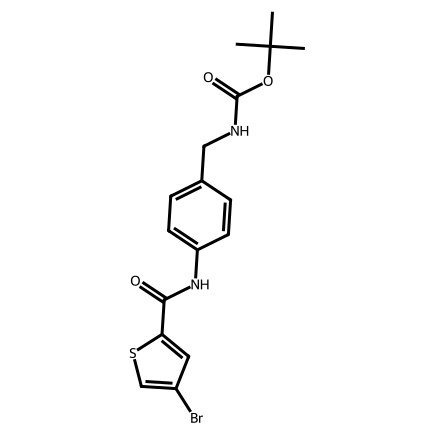 CC(C)(C)OC(=O)NCc1ccc(NC(=O)c2cc(Br)cs2)cc1